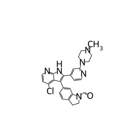 CN1CCN(c2cc(-c3[nH]c4nccc(Cl)c4c3-c3ccc4c(c3)N(C=O)CC4)ccn2)CC1